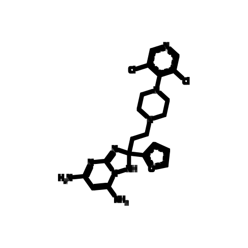 NC1=CC(N)=NC2=NC(CCN3CCN(c4c(Cl)cncc4Cl)CC3)(c3ccco3)NN12